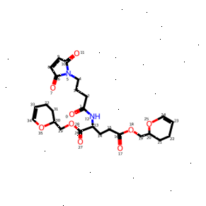 O=C(CCCN1C(=O)C=CC1=O)NC(CCC(=O)OCC1CCC=CO1)C(=O)OCC1CCC=CO1